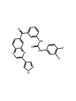 O=C(Nc1cccc(C(=O)c2ccc3ncc(-c4cn[nH]c4)nc3c2)c1)Nc1ccc(F)c(Cl)c1